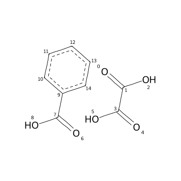 O=C(O)C(=O)O.O=C(O)c1ccccc1